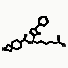 CCC(=O)CCCCC[C@@H](NC(=O)C1CCC2(CC1)CNC2)c1ncc(-c2ccccc2)[nH]1